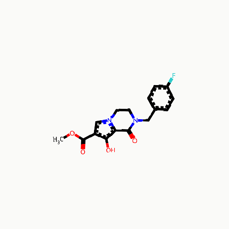 COC(=O)c1cn2c(c1O)C(=O)N(Cc1ccc(F)cc1)CC2